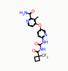 Cc1c(Oc2ccc(NC(=O)NC(=O)C3(C(F)(F)F)CCC3)nc2)ccnc1C(N)=O